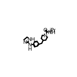 CC(C)NC(=O)N1CCC(Cc2ccc(NC3=NCCN3)cc2)CC1